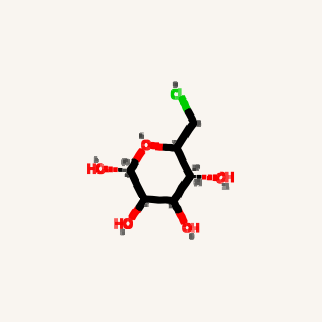 OC1C(O)[C@H](O)OC(CCl)[C@@H]1O